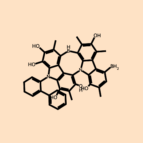 Bc1cc(C)c(O)c2c1c1c(C)c(O)c(C)c3c1n2-c1c(O)c(C)c(O)c2c1c1c(c(C)c(O)c(O)c1n2C1=CCCC=C1c1ccccc1)B3